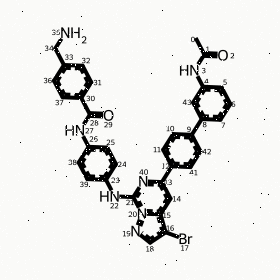 CC(=O)Nc1cccc(-c2ccc(-c3cc4c(Br)cnn4c(Nc4ccc(NC(=O)c5ccc(CN)cc5)cc4)n3)cc2)c1